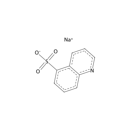 O=S(=O)([O-])c1cccc2ncccc12.[Na+]